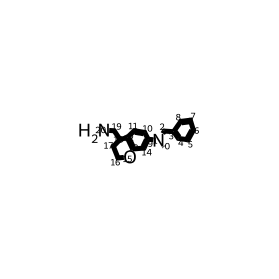 CN(Cc1ccccc1)c1ccc2c(c1)OCCC2CN